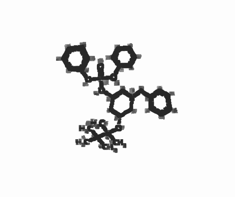 CC(C)(C)[Si](C)(C)O[C@@H]1C[C@@H](OP(=O)(Oc2ccccc2)Oc2ccccc2)CN(Cc2ccccc2)C1